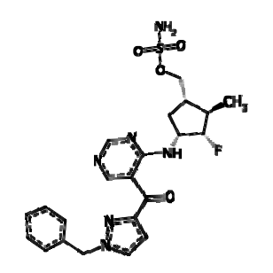 C[C@@H]1[C@@H](COS(N)(=O)=O)C[C@@H](Nc2ncncc2C(=O)c2ccn(Cc3ccccc3)n2)[C@H]1F